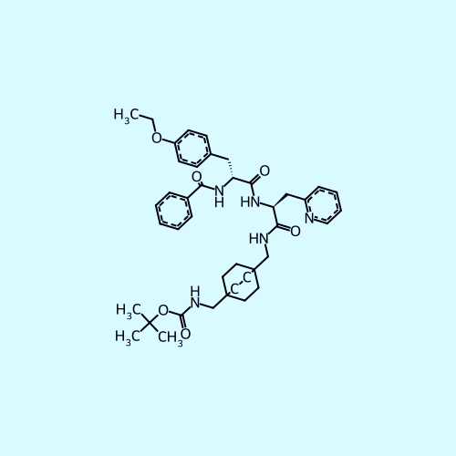 CCOc1ccc(C[C@@H](NC(=O)c2ccccc2)C(=O)N[C@@H](Cc2ccccn2)C(=O)NCC23CCC(CNC(=O)OC(C)(C)C)(CC2)CC3)cc1